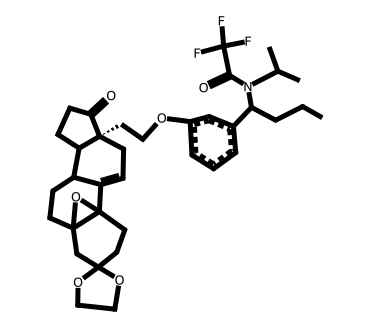 CCCC(c1cccc(OCC[C@]23CC=C4C(CCC56CC7(CCC45O6)OCCO7)C2CCC3=O)c1)N(C(=O)C(F)(F)F)C(C)C